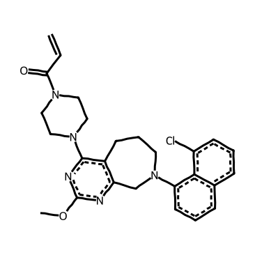 C=CC(=O)N1CCN(c2nc(OC)nc3c2CCCN(c2cccc4cccc(Cl)c24)C3)CC1